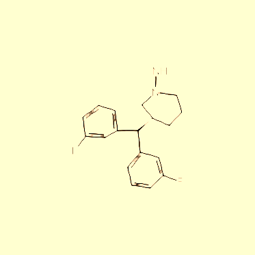 NN1CCC[C@@H](C(c2cccc(F)c2)c2cccc(F)c2)C1